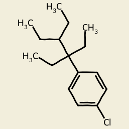 CCC(CC)C(CC)(CC)c1ccc(Cl)cc1